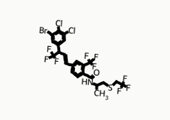 CC(CSCC(F)(F)F)NC(=O)c1ccc(/C=C/C(c2cc(Cl)c(Cl)c(Br)c2)C(F)(F)F)cc1C(F)(F)F